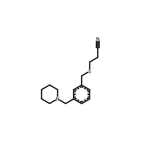 N#CCCSCc1cccc(CN2CCCCC2)c1